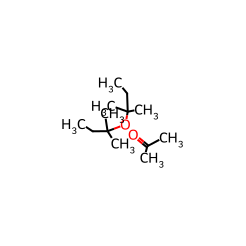 CC(C)=O.CCC(C)(C)OC(C)(C)CC